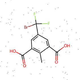 Cc1c(C(=O)O)cc(C(F)(F)Br)cc1C(=O)O